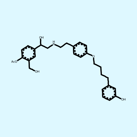 CC(=O)Oc1ccc(C(O)CNCCc2ccc(OCCCCc3cccc(O)c3)cc2)cc1CO